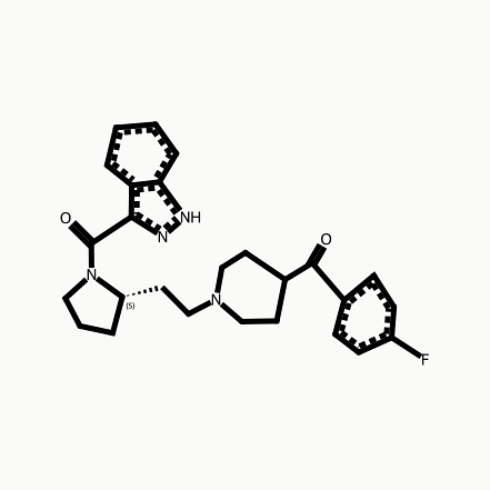 O=C(c1ccc(F)cc1)C1CCN(CC[C@@H]2CCCN2C(=O)c2n[nH]c3ccccc23)CC1